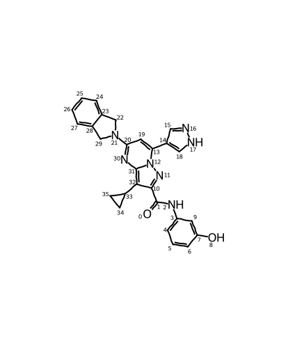 O=C(Nc1cccc(O)c1)c1nn2c(-c3cn[nH]c3)cc(N3Cc4ccccc4C3)nc2c1C1CC1